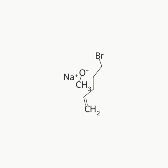 C=CCCCBr.C[O-].[Na+]